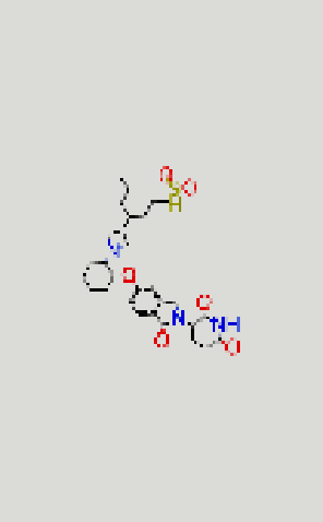 CCCC(CCC[SH](=O)=O)C1CN(C2CCCCC2Oc2ccc3c(c2)CN(C2CCC(=O)NC2=O)C3=O)C1